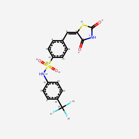 O=C1NC(=O)/C(=C\c2ccc(S(=O)(=O)Nc3ccc(C(F)(F)F)cc3)cc2)S1